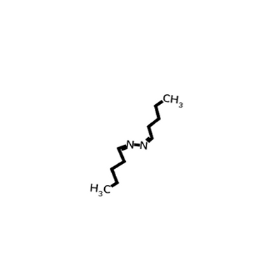 CCCC/C=N\N=C/CCCC